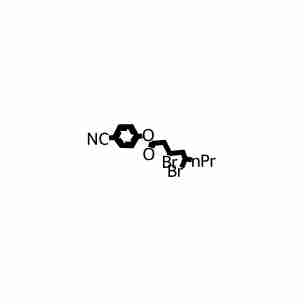 CCCC(Br)CC(Br)CC(=O)Oc1ccc(C#N)cc1